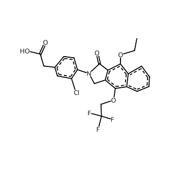 CCOc1c2c(c(OCC(F)(F)F)c3ccccc13)CN(c1ccc(CC(=O)O)cc1Cl)C2=O